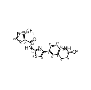 O=C1CCc2cc(-c3csc(NC(=O)c4scnc4C(F)(F)F)n3)ccc2N1